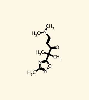 Cc1noc(C(C)(C)C(=O)C=CN(C)C)n1